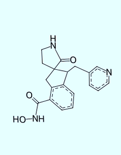 O=C(NO)c1cccc2c1CC1(CCNC1=O)C2Cc1cccnc1